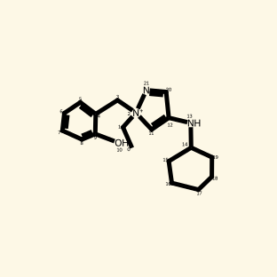 CC[N+]1(Cc2ccccc2O)C=C(NC2CCCCC2)C=N1